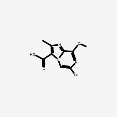 COc1nc(Br)cn2c(C(=O)O)c(C)nc12